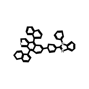 C1=Cc2c(cccc2-c2c3c(c(-c4cccc5ccccc45)c4cc(C5C=CC(c6nc7ccccc7n6-c6ccccc6)=CC5)ccc24)=CCCC=3)CC1